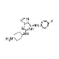 NC1CCC(Nc2nc3ncnc-3c(NCc3ccc(F)cc3)[nH]2)CC1